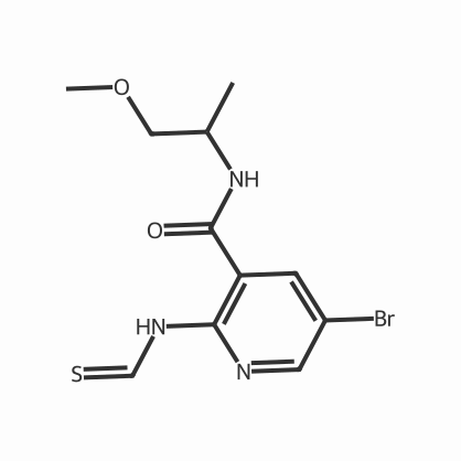 COCC(C)NC(=O)c1cc(Br)cnc1NC=S